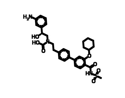 CS(=O)(=O)NC(=O)c1ccc(-c2ccc(CCN(C[C@@H](O)c3cccc(N)c3)C(=O)O)cc2)cc1OC1CCCCC1